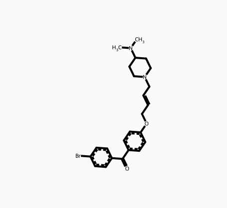 CN(C)C1CCN(CC=CCOc2ccc(C(=O)c3ccc(Br)cc3)cc2)CC1